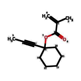 C=C(C)C(=O)OC1(C#CC)CCCCC1